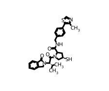 Cc1ncsc1-c1ccc(CNC(=O)C2C[C@@H](S)CN2C(=O)[C@H](C(C)C)N2Cc3ccccc3C2=O)cc1